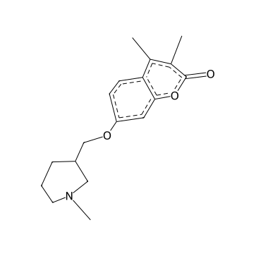 Cc1c(C)c2ccc(OCC3CCCN(C)C3)cc2oc1=O